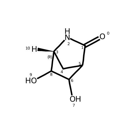 O=C1N[C@@H]2CC1C(O)C2O